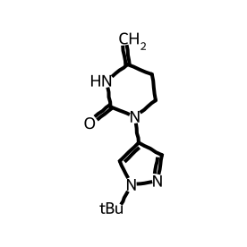 C=C1CCN(c2cnn(C(C)(C)C)c2)C(=O)N1